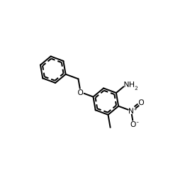 Cc1cc(OCc2ccccc2)cc(N)c1[N+](=O)[O-]